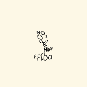 O=C(Oc1ccc([N+](=O)[O-])cc1)N1CC(CNc2cc(C(F)(F)F)nc3ccc(Cl)cc23)(n2cc(F)cn2)C1